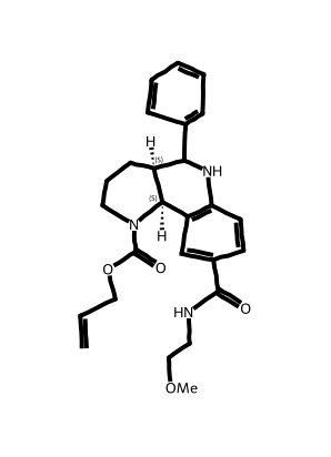 C=CCOC(=O)N1CCC[C@H]2C(c3ccccc3)Nc3ccc(C(=O)NCCOC)cc3[C@H]21